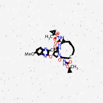 COc1ccc2nc(C(F)(F)F)c(O[C@@H]3C[C@H]4C(=O)N[C@]5(C(=O)NS(=O)(=O)C6(C)CC6)CC5/C=C\CCCCC[C@H](NC(=O)OC5(C)CC5)C(=O)N4C3)nc2c1